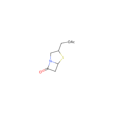 CC(=O)OCC1CN2C(=O)CC2S1